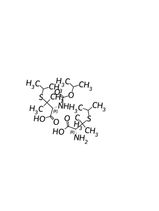 CC(C)OC(=O)N[C@H](C(=O)O)C(C)(C)SC(C)C.CC(C)SC(C)(C)[C@H](N)C(=O)O